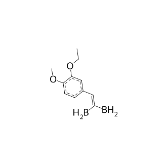 BC(B)=Cc1ccc(OC)c(OCC)c1